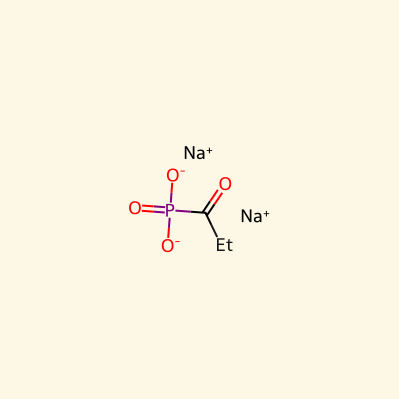 CCC(=O)P(=O)([O-])[O-].[Na+].[Na+]